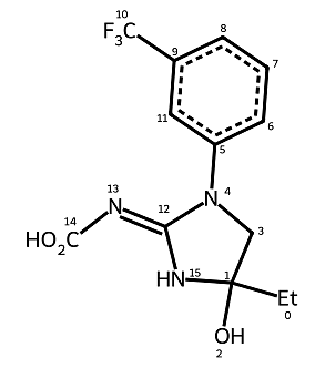 CCC1(O)CN(c2cccc(C(F)(F)F)c2)/C(=N/C(=O)O)N1